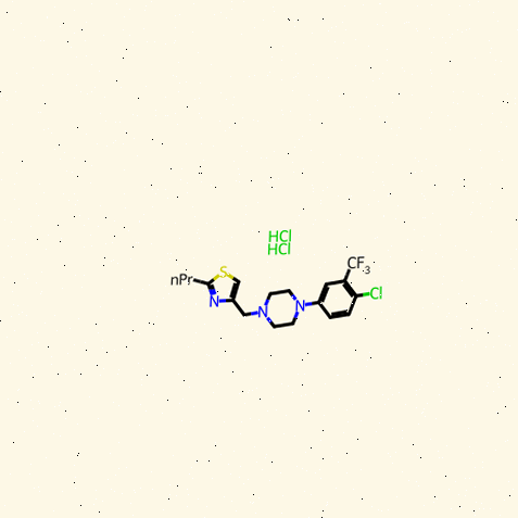 CCCc1nc(CN2CCN(c3ccc(Cl)c(C(F)(F)F)c3)CC2)cs1.Cl.Cl